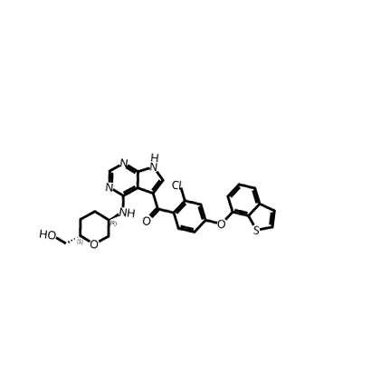 O=C(c1ccc(Oc2cccc3ccsc23)cc1Cl)c1c[nH]c2ncnc(N[C@@H]3CC[C@@H](CO)OC3)c12